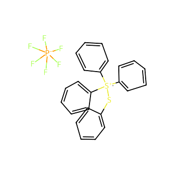 F[P-](F)(F)(F)(F)F.c1ccc(S[S+](c2ccccc2)(c2ccccc2)c2ccccc2)cc1